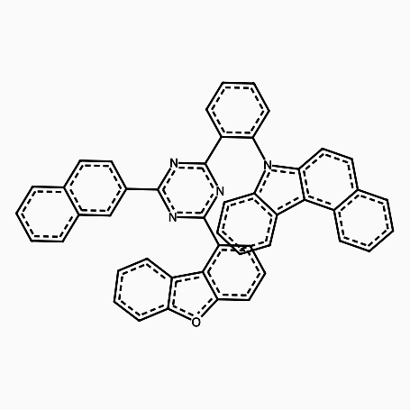 c1ccc(-n2c3ccccc3c3c4ccccc4ccc32)c(-c2nc(-c3ccc4ccccc4c3)nc(-c3cccc4oc5ccccc5c34)n2)c1